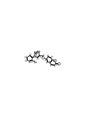 O=c1ccc2cc(OCc3cn(-c4ccccc4I)nn3)ccc2o1